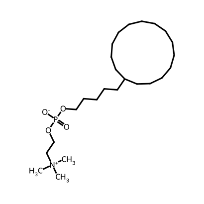 C[N+](C)(C)CCOP(=O)([O-])OCCCCCC1CCCCCCCCCCCCCC1